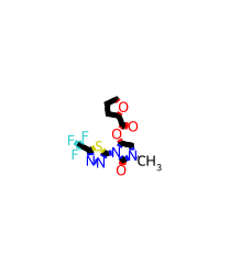 CN1CC(OC(=O)C2CCCO2)N(c2nnc(C(F)(F)F)s2)C1=O